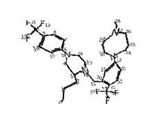 CCCC1CN(c2ccc(C(F)(F)F)cc2)CCN1Cc1cc(N2CCCN(C)CC2)ccc1C(F)(F)F